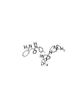 CCC(=O)N[C@H](Cc1ccc(NC(=O)[C@@H](N)C2CCCCCC2)cc1)C(=O)N1CCN(C)CC1